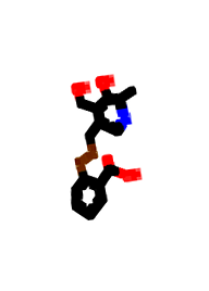 Cc1ncc(CSSc2ccccc2C(=O)O)c(CO)c1O